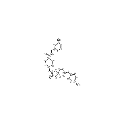 Nc1cccc(CNC(=O)[C@H]2CC[C@H](CN3CC4(CCN(Cc5ccc(C(F)(F)F)cc5)CC4)OC3=O)CC2)c1